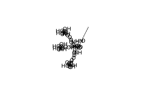 CCCCCCCCCCCCCCCC(=O)NCCCC[C@H](NC(=O)[C@H](CCCCNC(=O)COCCOCCOCCO[C@@H]1O[C@H](CO)[C@H](O)[C@H](O)[C@H]1NC(C)=O)NC(=O)[C@H](CCCCNC(=O)COCCOCCOCCO[C@@H]1O[C@H](CO)[C@H](O)[C@H](O)[C@H]1NC(C)=O)NC(=O)COCCOCCOCCO[C@@H]1O[C@H](CO)[C@H](O)[C@H](O)[C@H]1NC(C)=O)C(C)=O